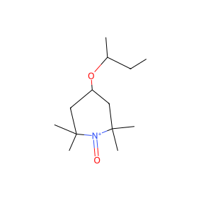 CCC(C)OC1CC(C)(C)[N+](=O)C(C)(C)C1